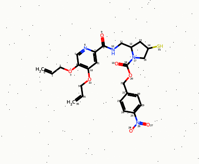 C=CCOc1cnc(C(=O)NCC2CC(S)CN2C(=O)OCc2ccc([N+](=O)[O-])cc2)cc1OCC=C